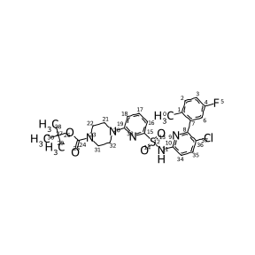 Cc1ccc(F)cc1-c1nc(NS(=O)(=O)c2cccc(N3CCN(C(=O)OC(C)(C)C)CC3)n2)ccc1Cl